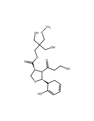 COCC(CO)(CO)COC(=O)[C@@H]1CS[C@H](C2CC=CC=C2O)N1C(=O)CCS